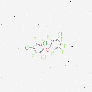 FC1=C(F)C(Cl)(Oc2c(F)c(F)c(Cl)c(F)c2Cl)C(F)=C(Cl)C1(F)F